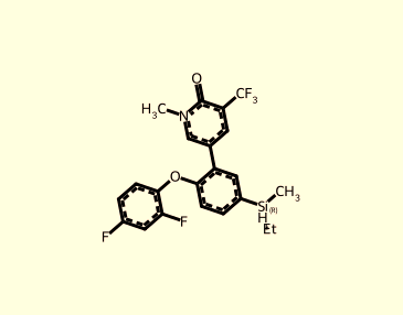 CC[Si@@H](C)c1ccc(Oc2ccc(F)cc2F)c(-c2cc(C(F)(F)F)c(=O)n(C)c2)c1